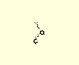 C[N+](C)([O-])CCCOc1ccc(Cl)cc1NC(=O)Nc1ccc(C#N)cn1